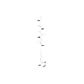 BC(=O)CNC(=O)CNC(=O)CNC(=O)CCCCCN1C(=O)C=CC1=O